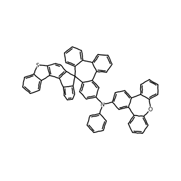 c1ccc(N(c2ccc3c(c2)-c2ccccc2Oc2ccccc2-3)c2ccc3c(c2)-c2ccccc2-c2ccccc2C32c3ccccc3-c3c2ccc2sc4ccccc4c32)cc1